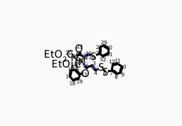 CCOC(=O)/N=C(/C=C/SSc1ccccc1)Oc1ccccc1.CCOC(=O)NC(=O)/C=C/Sc1ccccc1